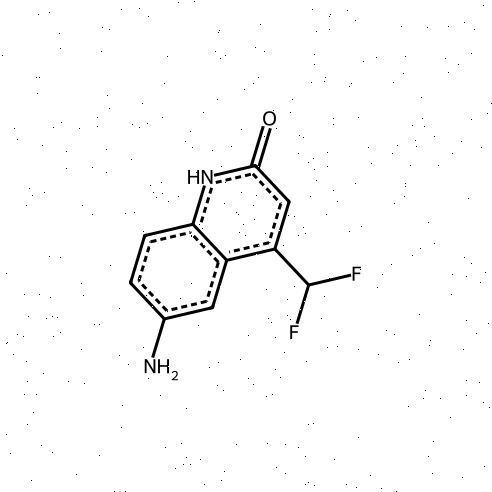 Nc1ccc2[nH]c(=O)cc(C(F)F)c2c1